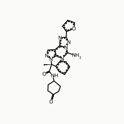 C[C@](C(=O)NC1CCC(=O)CC1)(c1ccccc1)n1ncc2c1nc(N)n1nc(-c3ccco3)nc21